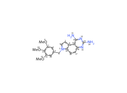 COc1cc(Cn2ccc3c4c(N)nc(N)nc4ccc32)cc(OC)c1OC